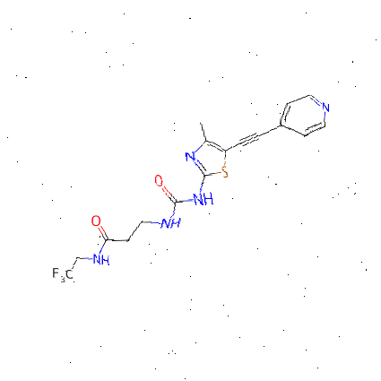 Cc1nc(NC(=O)NCCC(=O)NCC(F)(F)F)sc1C#Cc1ccncc1